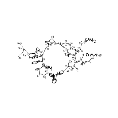 C=C/C(=C(\N=C/C)[C@H](C)OC)c1c2c3cc(ccc3n1CCOC)C1CSC(=N1)C[C@H](NC(=O)[C@H]1[C@H](C)[C@@H]1C)C(=O)N1CCC[C@@](O)(N1)C(=O)OCC(C)(C)C2